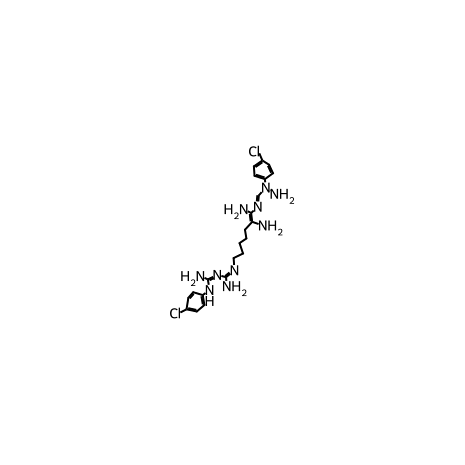 NC(=NCCCCCC(N)=C(N)N=CN(N)c1ccc(Cl)cc1)N=C(N)Nc1ccc(Cl)cc1